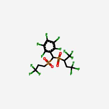 O=S(=O)(CCC(F)(F)F)C(c1c(F)c(F)c(F)c(F)c1F)S(=O)(=O)C(CC(F)(F)F)C(F)(F)F